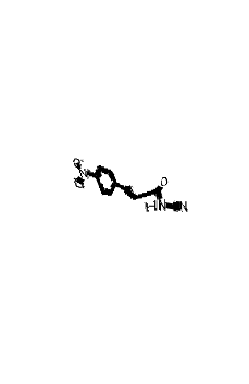 N#CNC(=O)CCc1ccc([N+](=O)[O-])cc1